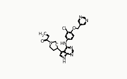 C=CC(=O)N1CCC(c2c[nH]c3ncnc(Nc4ccc(OCc5cncnc5)c(Cl)c4)c23)CC1